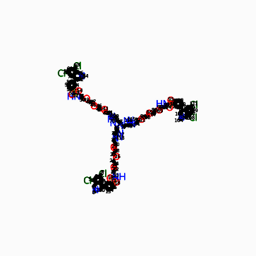 CN1Cc2c(Cl)cc(Cl)cc2[C@H](c2cccc(S(=O)(=O)NCCOCCOCCOCCn3cc(CN(Cc4cn(CCOCCOCCOCCNS(=O)(=O)c5cccc([C@@H]6CN(C)Cc7c(Cl)cc(Cl)cc76)c5)nn4)Cc4cn(CCOCCOCCOCCNS(=O)(=O)c5cccc([C@@H]6CN(C)Cc7c(Cl)cc(Cl)cc76)c5)nn4)nn3)c2)C1